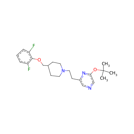 CC(C)(C)Oc1cncc(CCN2CCC(COc3c(F)cccc3F)CC2)n1